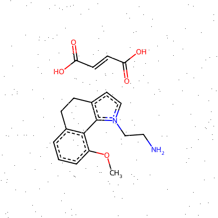 COc1cccc2c1-c1c(ccn1CCN)CC2.O=C(O)C=CC(=O)O